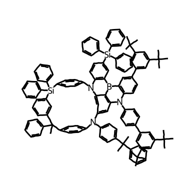 CC(C)(C)c1cc(-c2ccc(N3c4ccc(-c5cc(C(C)(C)C)cc(C(C)(C)C)c5)cc4B4c5cc([Si](c6ccccc6)(c6ccccc6)c6ccccc6)ccc5N5c6ccc(cc6)[Si](c6ccccc6)(c6ccccc6)c6cccc(c6)C(C)(c6ccccc6)c6ccc(cc6)N(c6ccc(C(C)(C)c7ccccc7)cc6)c6cc3c4c5c6)cc2)cc(C(C)(C)C)c1